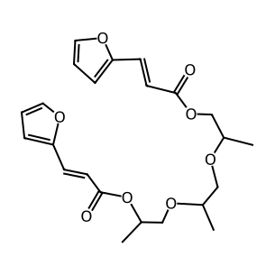 CC(COC(=O)C=Cc1ccco1)OCC(C)OCC(C)OC(=O)C=Cc1ccco1